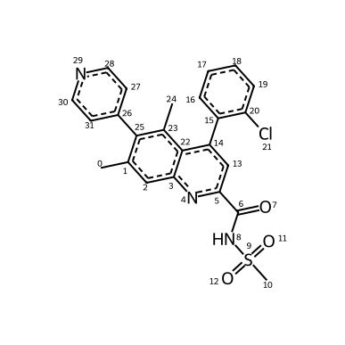 Cc1cc2nc(C(=O)NS(C)(=O)=O)cc(-c3ccccc3Cl)c2c(C)c1-c1ccncc1